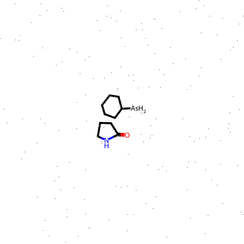 O=C1CCCN1.[AsH2]C1CCCCC1